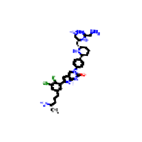 C[C@H](N)CCCc1cc(Cl)c(F)c(-c2cc3cn(-c4ccc([C@@H]5CCC[C@@H](C[C@@H](CN)NC(=N)CN)N5)cc4)c(=O)nc3[nH]2)c1